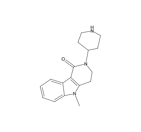 Cn1c2c(c3ccccc31)C(=O)N(C1CCNCC1)CC2